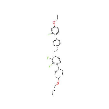 CCCCOC1CC=C(c2ccc(CCc3ccc(-c4ccc(OCC)cc4F)cc3)c(F)c2F)CC1